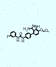 COCOc1ccc(-c2ccc(NC(=O)Nc3cccc(F)c3)cc2)c2c(N)n[nH]c12